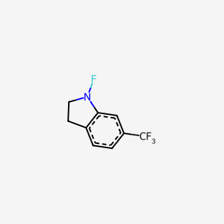 FN1CCc2ccc(C(F)(F)F)cc21